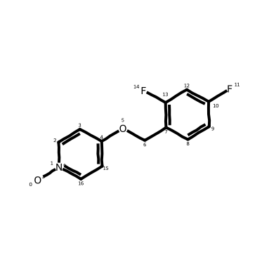 [O-][n+]1ccc(OCc2ccc(F)cc2F)cc1